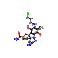 COC12C(COC(N)=O)C3=C(C(=O)C(C)=C(NCCCCl)C3=O)N1CC1NC12